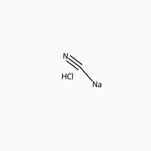 Cl.N#[C][Na]